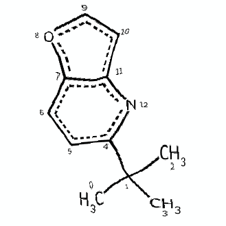 CC(C)(C)c1ccc2occc2n1